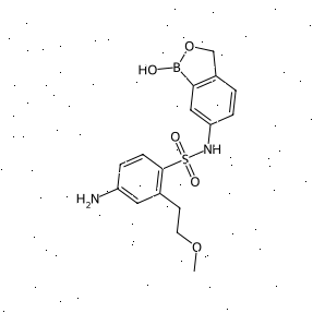 COCCc1cc(N)ccc1S(=O)(=O)Nc1ccc2c(c1)B(O)OC2